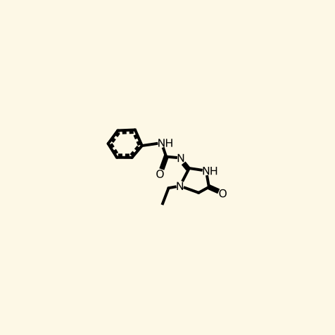 CCN1CC(=O)NC1=NC(=O)Nc1ccccc1